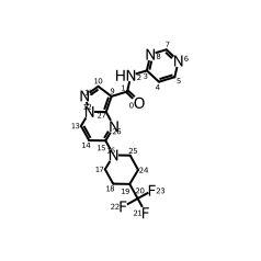 O=C(Nc1ccncn1)c1cnn2ccc(N3CCC(C(F)(F)F)CC3)nc12